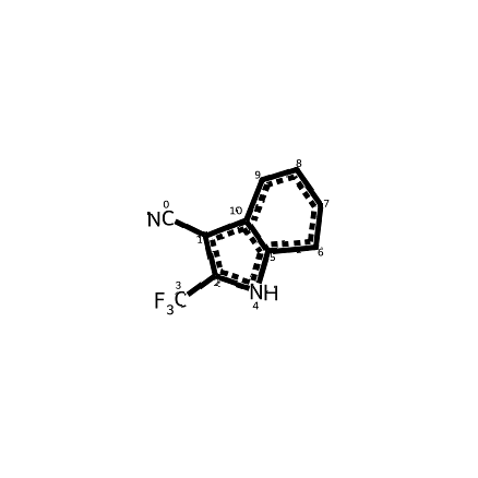 N#Cc1c(C(F)(F)F)[nH]c2ccccc12